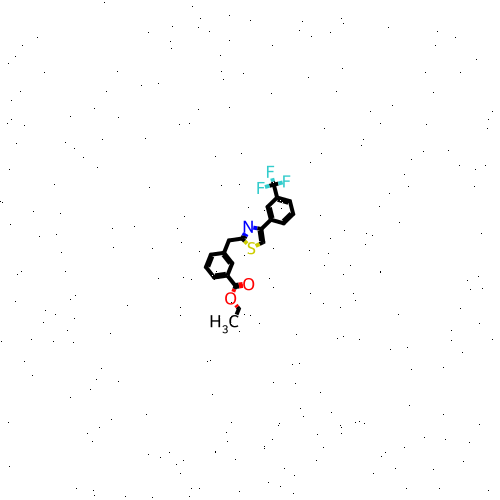 CCOC(=O)c1cccc(Cc2nc(-c3cccc(C(F)(F)F)c3)cs2)c1